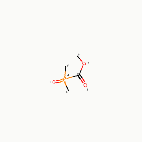 COC(=O)P(C)(C)=O